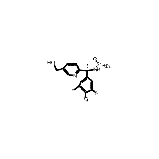 CC(C)(C)[S@@+]([O-])N[C@@](C)(c1cc(F)c(Cl)c(F)c1)c1ccc(CO)cn1